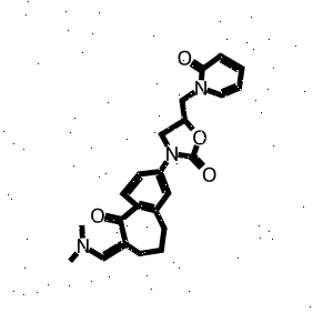 CN(C)/C=C1/CCCc2cc(N3CC(Cn4ccccc4=O)OC3=O)ccc2C1=O